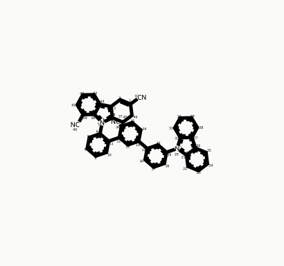 N#CC1=Cc2c(n(-c3ccccc3-c3cc(-c4cccc(-n5c6ccccc6c6ccccc65)c4)ccc3C#N)c3c(C#N)cccc23)CC1